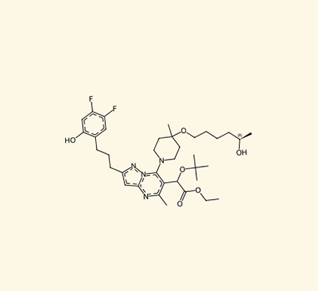 CCOC(=O)C(OC(C)(C)C)c1c(C)nc2cc(CCCc3cc(F)c(F)cc3O)nn2c1N1CCC(C)(OCCCC[C@@H](C)O)CC1